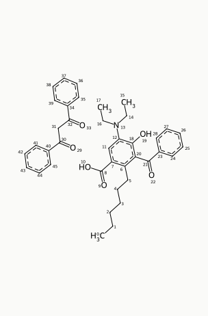 CCCCCCc1c(C(=O)O)cc(N(CC)CC)c(O)c1C(=O)c1ccccc1.O=C(CC(=O)c1ccccc1)c1ccccc1